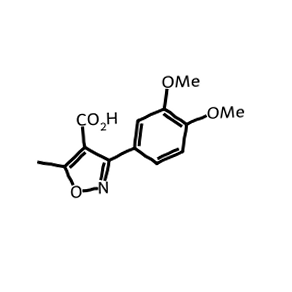 COc1ccc(-c2noc(C)c2C(=O)O)cc1OC